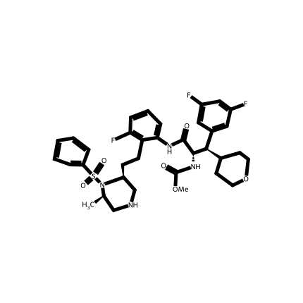 COC(=O)N[C@H](C(=O)Nc1cccc(F)c1CC[C@H]1CNC[C@@H](C)N1S(=O)(=O)c1ccccc1)[C@@H](c1cc(F)cc(F)c1)C1CCOCC1